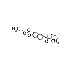 C=CCOC(=O)Oc1ccc2cc(OC(=O)C(=C)C)ccc2c1